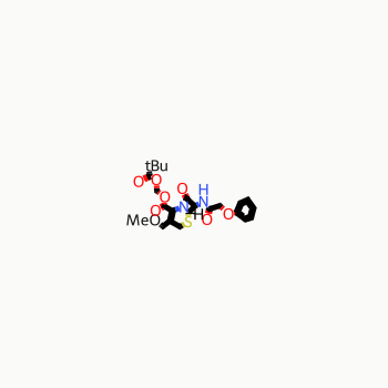 COCC1=C(C(=O)OCOC(=O)C(C)(C)C)N2C(=O)C(NC(=O)COc3ccccc3)[C@H]2SC1